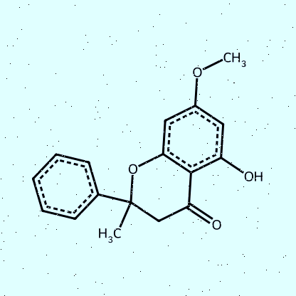 COc1cc(O)c2c(c1)OC(C)(c1ccccc1)CC2=O